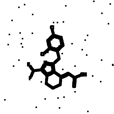 O=C(O)C=C1CCCc2c(C(F)F)nn(Cc3ccc(Cl)cc3Cl)c21